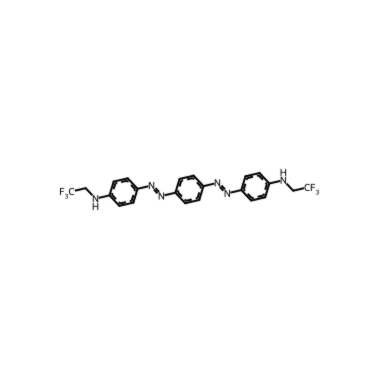 FC(F)(F)CNc1ccc(N=Nc2ccc(N=Nc3ccc(NCC(F)(F)F)cc3)cc2)cc1